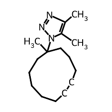 Cc1nnn(C2(C)CCCCCCCCCC2)c1C